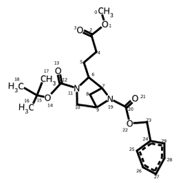 COC(=O)CCC1C2CC(CN1C(=O)OC(C)(C)C)N2C(=O)OCc1ccccc1